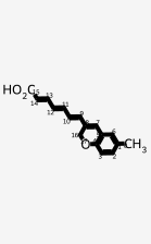 Cc1ccc2c(c1)C=C(/C=C/C=C/C=C/C(=O)O)CO2